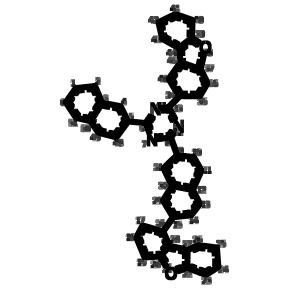 c1ccc2cc(-c3nc(-c4ccc5ccc(-c6cccc7oc8ccccc8c67)cc5c4)nc(-c4ccc5oc6ccccc6c5c4)n3)ccc2c1